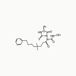 CC(C)[C@@H]1NC(=S)N(N(C(=O)CCC(C)(C)CCCCc2ccccc2)C(=O)NO)C1=O